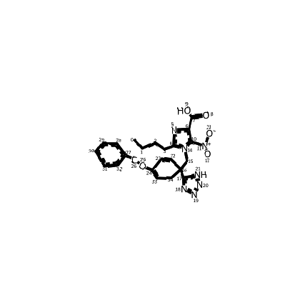 CCCCc1nc(C(=O)O)c([N+](=O)[O-])n1CC1(c2nnn[nH]2)C=CC(OCc2ccccc2)=CC1